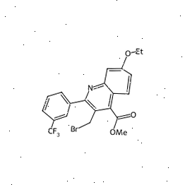 CCOc1ccc2c(C(=O)OC)c(CBr)c(-c3cccc(C(F)(F)F)c3)nc2c1